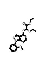 CCOC(=O)C(OCC)Sc1ncnc2c1cnn2-c1ccccc1OC